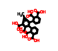 CC1c2c(C(=O)O)c(C(=O)O)c(-c3cccc(C(=O)O)c3C(=O)O)c(-c3cccc(C(=O)O)c3C(=O)O)c21